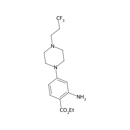 CCOC(=O)c1ccc(N2CCN(CCC(F)(F)F)CC2)cc1N